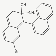 NC1(O)CC=c2ccc(Br)cc2=C1c1cccc2ccccc12